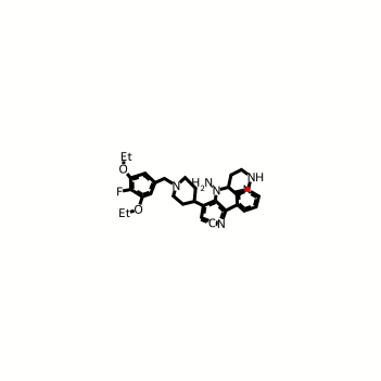 CCOc1cc(CN2CCC(c3ccnc(-c4cccnc4)c3N(N)C3CCNCC3)CC2)cc(OCC)c1F